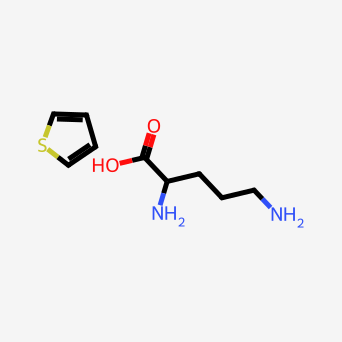 NCCCC(N)C(=O)O.c1ccsc1